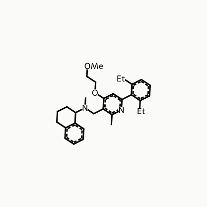 CCc1cccc(CC)c1-c1cc(OCCOC)c(CN(C)C2CCCc3ccccc32)c(C)n1